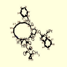 CC(C)n1c(O[C@@H]2C[C@H]3C(=O)N[C@]4(C(=O)NS(=O)(=O)C5(C)CC5)C[C@H]4/C=C\CCCCC[C@H](Nc4ccccc4)C(=O)N3C2)nc2ccccc21